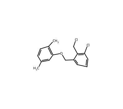 Cc1ccc(C)c(OCc2cccc(Cl)c2CCl)c1